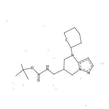 CC(C)(C)OC(=O)NCC1CN(C2CCCCC2)c2ccnn2C1